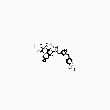 CC1C(=O)N2CC3(CC3)Cc3nc(NCc4cnn(Cc5ccc(C(F)(F)F)nc5)c4)nc(c32)N1C